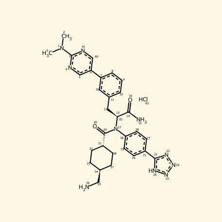 CN(C)c1ncc(-c2cccc(C[C@@H](C(N)=O)N(c3ccc(-c4nnn[nH]4)cc3)C(=O)[C@H]3CC[C@H](CN)CC3)c2)cn1.Cl